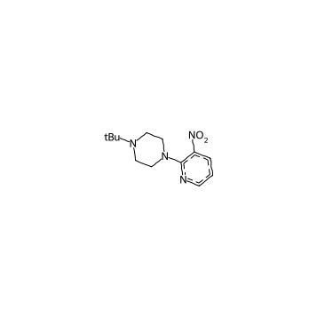 CC(C)(C)N1CCN(c2ncccc2[N+](=O)[O-])CC1